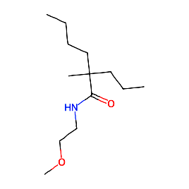 CCCCC(C)(CCC)C(=O)NCCOC